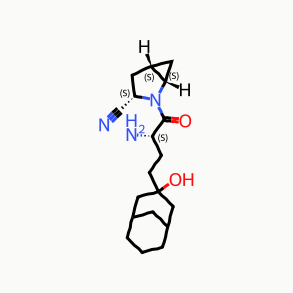 N#C[C@@H]1C[C@@H]2C[C@@H]2N1C(=O)[C@@H](N)CCC1(O)CC2CCCC(C2)C1